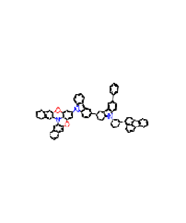 c1ccc(-c2ccc3c(c2)c2cc(-c4ccc5c(c4)c4ccccc4n5-c4cc5c6c(c4)Oc4cc7ccccc7cc4N6c4cc6ccccc6cc4O5)ccc2n3-c2cccc(-c3ccc4c5c(cccc35)-c3ccccc3-4)c2)cc1